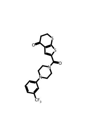 O=C1CCSc2sc(C(=O)N3CCN(c4cccc(C(F)(F)F)c4)CC3)cc21